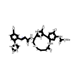 COC(=O)Nc1cc2c(cc1Cl)-c1nc([nH]c1Cl)[C@@H](NC(=O)/C=C/c1cc(Cl)ccc1-n1cnnn1)CCCCCC(=O)N2